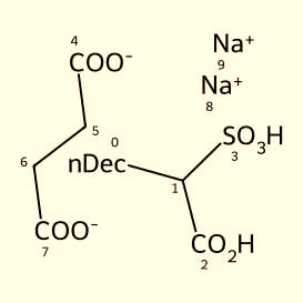 CCCCCCCCCCC(C(=O)O)S(=O)(=O)O.O=C([O-])CCC(=O)[O-].[Na+].[Na+]